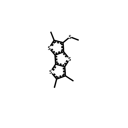 CSc1c(C)sc2c1sc1c(C)c(C)sc12